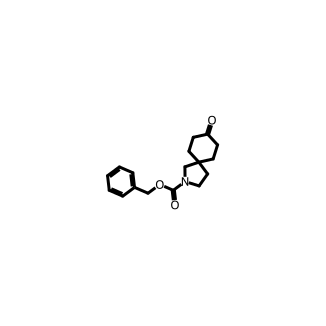 O=C1CCC2(CC1)CCN(C(=O)OCc1ccccc1)C2